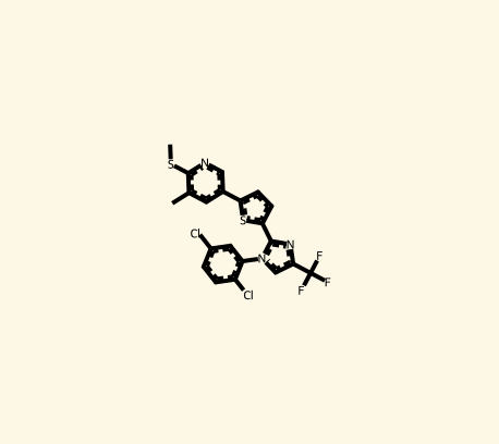 CSc1ncc(-c2ccc(-c3nc(C(F)(F)F)cn3-c3cc(Cl)ccc3Cl)s2)cc1C